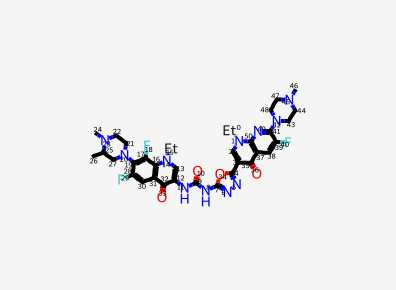 CCn1cc(-c2nnc(NC(=O)Nc3cn(CC)c4c(F)c(N5CCN(C)C(C)C5)c(F)cc4c3=O)o2)c(=O)c2cc(F)c(N3CCN(C)CC3)nc21